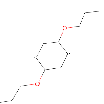 CCCOC1[CH]CC(OCCC)[CH]C1